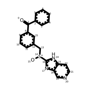 O=C(c1ccccc1)c1cccc(C[S+]([O-])c2nc3cnccc3[nH]2)c1